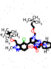 Cn1nc2ccc(-c3cn(COCC[Si](C)(C)C)c4nc(N5[C@@H]6CC[C@H]5C[C@@H](NC(=O)O)C6)cnc34)c(Cl)c2c1CO[Si](C)(C)C(C)(C)C